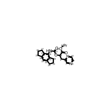 CC(C)OC(=O)C(Cc1cnccn1)OC(=O)Nc1c2c(cc3c1CCC3)CCC2